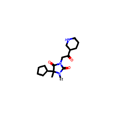 CCN1C(=O)N(CC(=O)C2CCCNC2)C(=O)C1(C)C1CCCC1